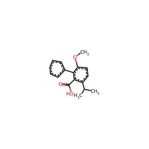 COc1ccc(C(C)C)c(C(=O)O)c1-c1ccccc1